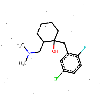 CN(C)CC1CCCCC1(O)Cc1cc(Cl)ccc1F